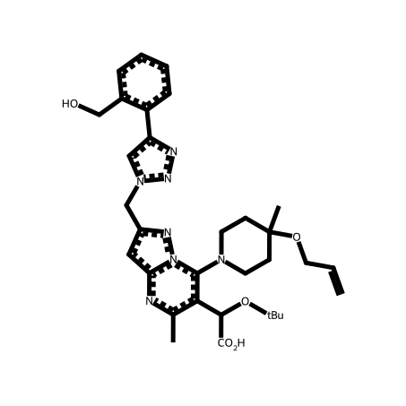 C=CCOC1(C)CCN(c2c(C(OC(C)(C)C)C(=O)O)c(C)nc3cc(Cn4cc(-c5ccccc5CO)nn4)nn23)CC1